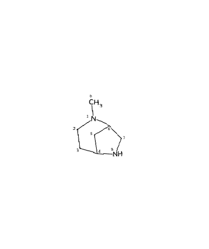 CN1CCC2CC1CN2